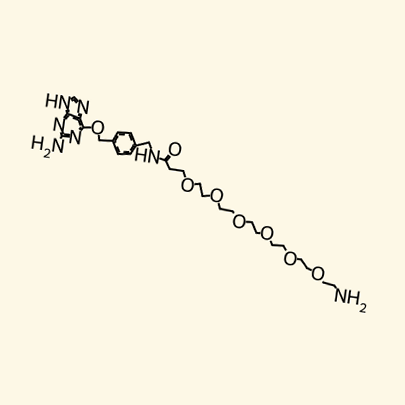 NCCOCCOCCOCCOCCOCCOCCC(=O)NCc1ccc(COc2nc(N)nc3[nH]cnc23)cc1